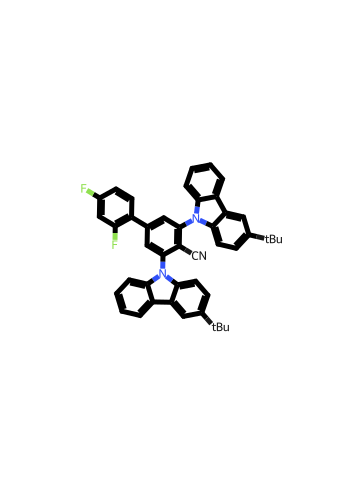 CC(C)(C)c1ccc2c(c1)c1ccccc1n2-c1cc(-c2ccc(F)cc2F)cc(-n2c3ccccc3c3cc(C(C)(C)C)ccc32)c1C#N